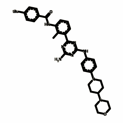 Cc1c(NC(=O)c2ccc(C(C)(C)C)cc2)cccc1-c1nc(N)nc(Nc2ccc(N3CCC(N4CCOCC4)CC3)cc2)n1